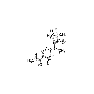 CNC(=O)c1ccc(C(C)=N[S+]([O-])C(C)(C)C)cc1F